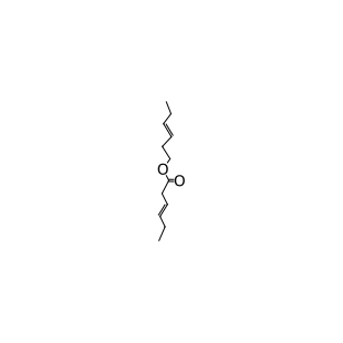 CCC=CCCOC(=O)CC=CCC